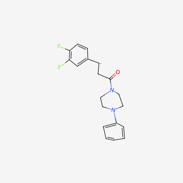 O=C(C[CH]c1ccc(F)c(F)c1)N1CCN(c2ccccc2)CC1